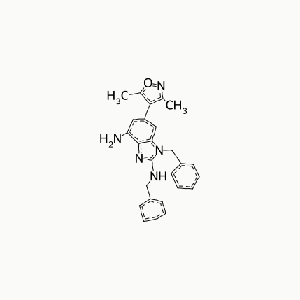 Cc1noc(C)c1-c1cc(N)c2nc(NCc3ccccc3)n(Cc3ccccc3)c2c1